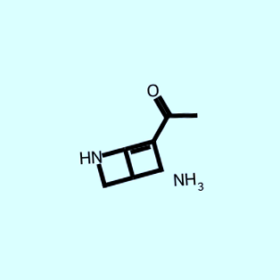 CC(=O)C1=C2NCC2C1.N